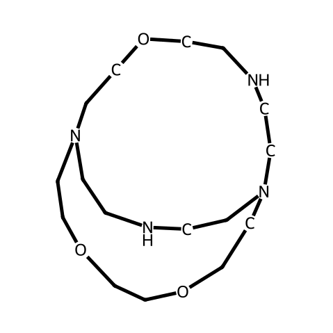 C1COCCN2CCNCCN(CCN1)CCOCCOCC2